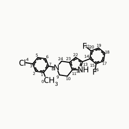 Cc1cc(Cl)ccc1N1CCc2[nH]c(-c3c(F)cccc3F)cc2C1